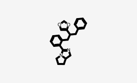 C1=C(C(Cc2ccccc2)Cc2ccccc2C2=NCC3CCCN23)OCO1